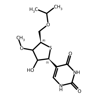 COC1C(O)[C@H](c2c[nH]c(=O)[nH]c2=O)S[C@@H]1COC(C)C